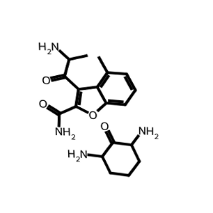 Cc1cccc2oc(C(N)=O)c(C(=O)C(C)N)c12.NC1CCCC(N)C1=O